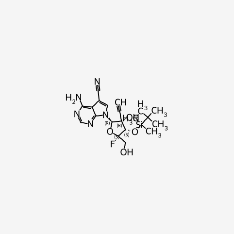 C#C[C@]1(O)[C@H](n2cc(C#N)c3c(N)ncnc32)O[C@](F)(CO)[C@H]1O[Si](C)(C)C(C)(C)C